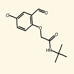 CC(C)(C)NC(=O)COc1ccc(Cl)cc1C=O